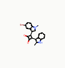 Cc1[nH]c2ccccc2c1-c1c(-c2cn(C)c3ccc(Br)cc23)c(=O)c1=O